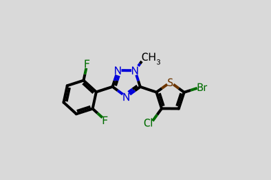 Cn1nc(-c2c(F)cccc2F)nc1-c1sc(Br)cc1Cl